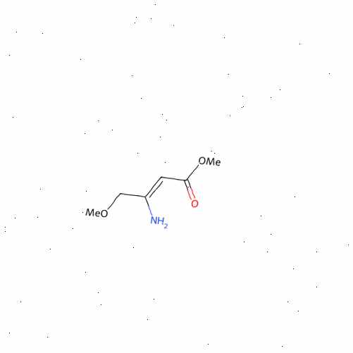 COCC(N)=CC(=O)OC